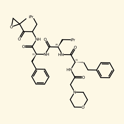 CC(C)CC(NC(=O)[C@H](Cc1ccccc1)NC(=O)[C@@H](CC(C)C)NC(=O)[C@H](CCc1ccccc1)NC(=O)CN1CCOCC1)C(=O)C1(C)CO1